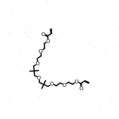 C=CC(=O)OCCOCCOCC(C)(C)COCC(C)(C)COCCOCCOC(=O)C=C